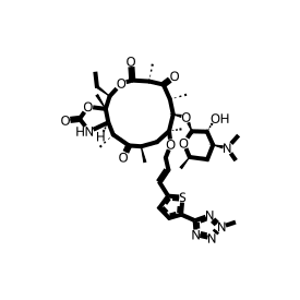 CC[C@H]1OC(=O)[C@H](C)C(=O)[C@H](C)[C@@H](O[C@@H]2O[C@H](C)C[C@H](N(C)C)[C@H]2O)[C@@](C)(OCC=Cc2ccc(-c3nnn(C)n3)s2)C[C@@H](C)C(=O)[C@H](C)[C@H]2NC(=O)O[C@@]21C